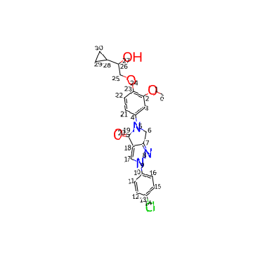 COc1cc(N2Cc3nn(-c4ccc(Cl)cc4)cc3C2=O)ccc1OCC(O)C1CC1